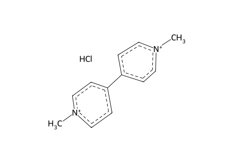 C[n+]1ccc(-c2cc[n+](C)cc2)cc1.Cl